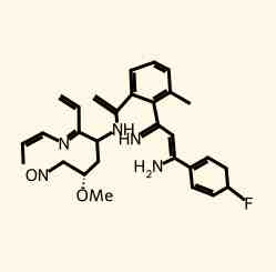 C=C/C(=N\C=C/C)C(C[C@@H](CN=O)OC)NC(=C)c1cccc(C)c1C(=N)/C=C(\N)C1=CCC(F)C=C1